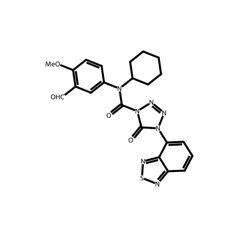 COc1ccc(N(C(=O)n2nnn(-c3cccc4nsnc34)c2=O)C2CCCCC2)cc1C=O